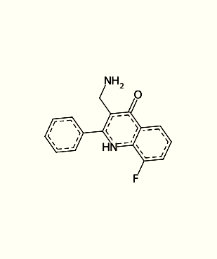 NCc1c(-c2ccccc2)[nH]c2c(F)cccc2c1=O